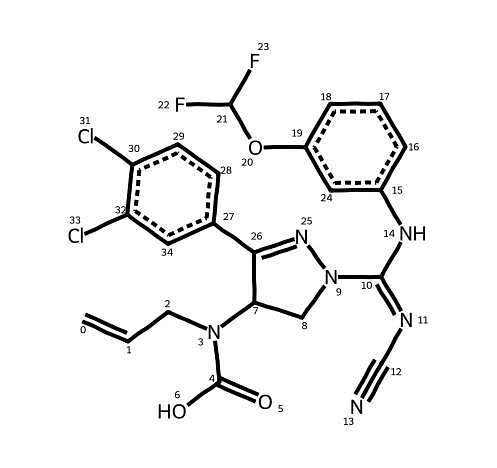 C=CCN(C(=O)O)C1CN(C(=NC#N)Nc2cccc(OC(F)F)c2)N=C1c1ccc(Cl)c(Cl)c1